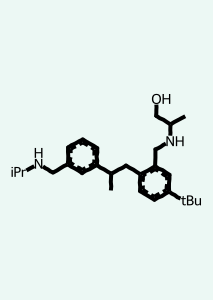 CC(C)NCc1cccc(C(C)Cc2ccc(C(C)(C)C)cc2CNC(C)CO)c1